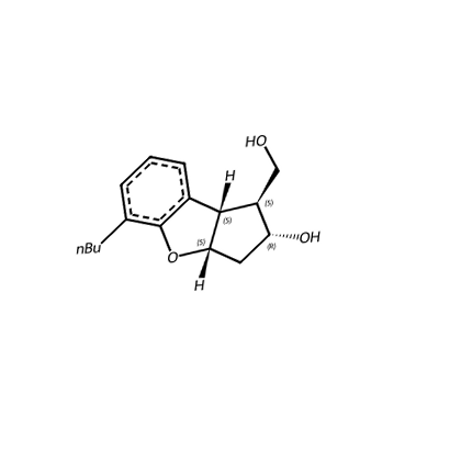 CCCCc1cccc2c1O[C@H]1C[C@@H](O)[C@H](CO)[C@@H]21